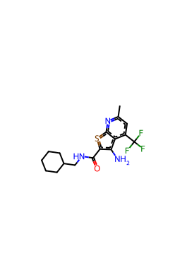 Cc1cc(C(F)(F)F)c2c(N)c(C(=O)NCC3CCCCC3)sc2n1